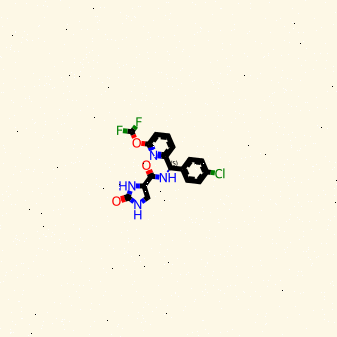 O=C1NCC(C(=O)N[C@@H](c2ccc(Cl)cc2)c2cccc(OC(F)F)n2)N1